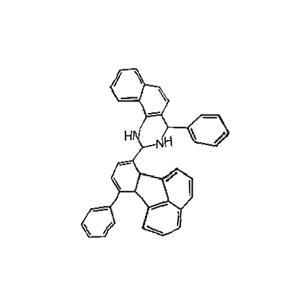 C1=C(c2ccccc2)C2c3cccc4cccc(c34)C2C(C2Nc3c(ccc4ccccc34)C(c3ccccc3)N2)=C1